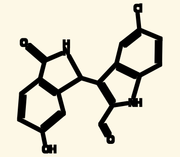 O=Cc1[nH]c2ccc(Cl)cc2c1C1NC(=O)c2ccc(O)cc21